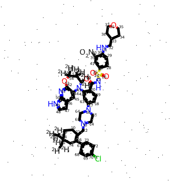 [2H]C([2H])([2H])C1(C([2H])([2H])[2H])CCC(CN2CCN(c3ccc(C(=O)NS(=O)(=O)c4ccc(NCC5CCOCC5)c([N+](=O)[O-])c4)c(N4c5cc6cc[nH]c6nc5OC([2H])([2H])C([2H])([2H])C4([2H])[2H])c3)CC2)=C(c2ccc(Cl)cc2)C1